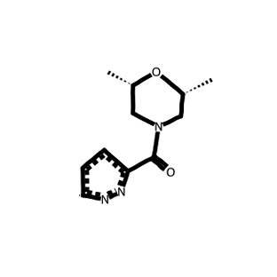 C[C@@H]1CN(C(=O)c2cc[c]nn2)C[C@H](C)O1